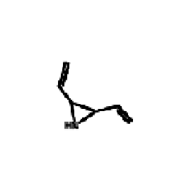 C=CC1NC1C=C